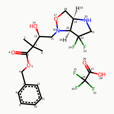 CC(C)(C(=O)OCc1ccccc1)[C@@H](O)CN1OC[C@H]2NCC(F)(F)[C@H]21.O=C(O)C(F)(F)F